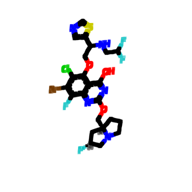 Oc1nc(OC[C@@]23CCCN2C[C@H](F)C3)nc2c(F)c(Br)c(Cl)c(OCC(NCC(F)F)c3cncs3)c12